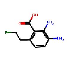 Nc1ccc(CCF)c(C(=O)O)c1N